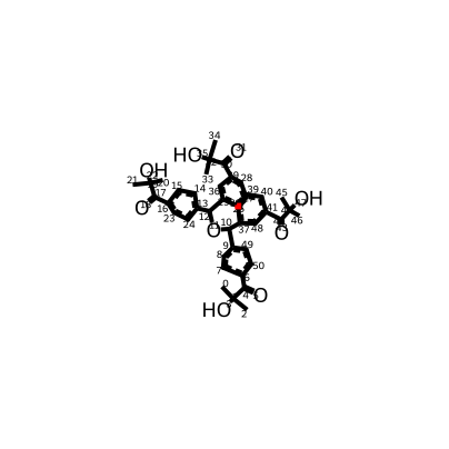 CC(C)(O)C(=O)c1ccc(C(OC(c2ccc(C(=O)C(C)(C)O)cc2)c2cccc(C(=O)C(C)(C)O)c2)c2cccc(C(=O)C(C)(C)O)c2)cc1